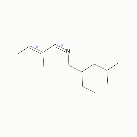 C/C=C(C)/C=N\CC(CC)CC(C)C